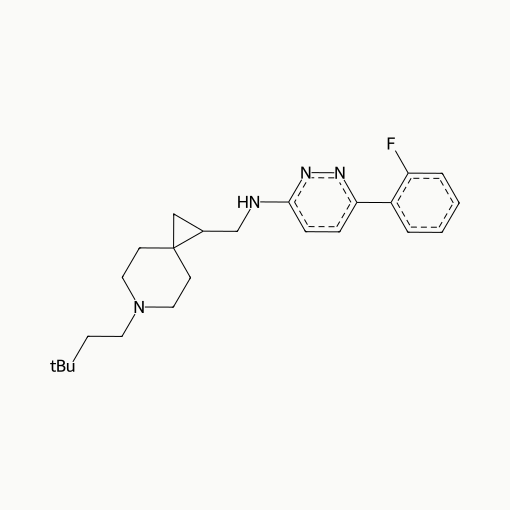 CC(C)(C)CCN1CCC2(CC1)CC2CNc1ccc(-c2ccccc2F)nn1